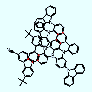 CC(C)(C)c1ccc(N2c3cc(-n4c5ccc(C#N)cc5c5cc(C(C)(C)C)ccc54)ccc3B3c4ccc(-n5c6ccccc6c6ccccc65)cc4N(c4ccccc4-c4ccccc4)c4cc(-c5cccc(-n6c7ccccc7c7ccccc76)c5-n5c6ccccc6c6ccccc65)cc2c43)c(-c2ccccc2)c1